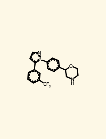 FC(F)(F)c1cccc(-c2ccnn2-c2ccc(C3CNCCO3)cc2)c1